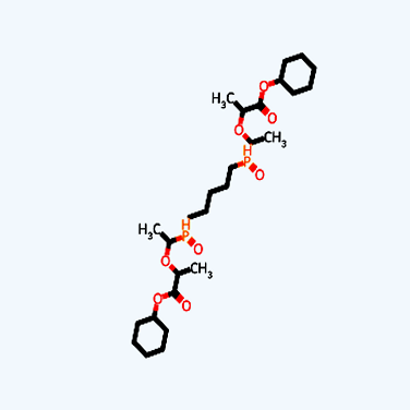 CC(OC(C)[PH](=O)CCCCC[PH](=O)C(C)OC(C)C(=O)OC1CCCCC1)C(=O)OC1CCCCC1